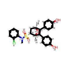 CN(c1ccccc1Cl)S(=O)(=O)[C@@H]1C[C@@H]2O[C@H]1C(c1ccc(O)cc1)=C2c1ccc(O)cc1